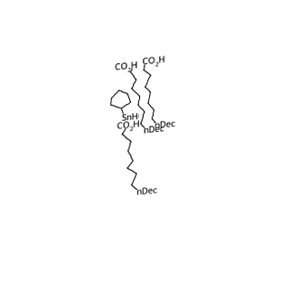 CCCCCCCCCCCCCCCCCC(=O)O.CCCCCCCCCCCCCCCCCC(=O)O.CCCCCCCCCCCCCCCCCC(=O)O.[SnH][CH]1CCCCC1